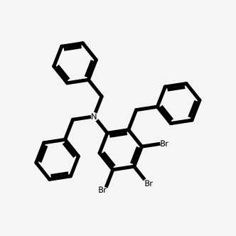 Brc1cc(N(Cc2ccccc2)Cc2ccccc2)c(Cc2ccccc2)c(Br)c1Br